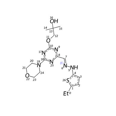 CCc1ccc(N/N=C/c2nc(OCC(C)(C)O)nc(N3CCOCC3)n2)s1